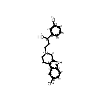 OC(CCN1CCc2c([nH]c3ccc(Cl)cc23)C1)c1cccc(Cl)c1